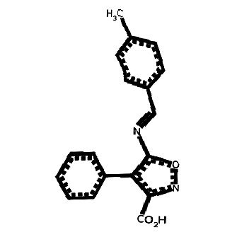 Cc1ccc(C=Nc2onc(C(=O)O)c2-c2ccccc2)cc1